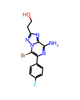 Nc1nc(-c2ccc(F)cc2)c(Br)n2nc(CCO)nc12